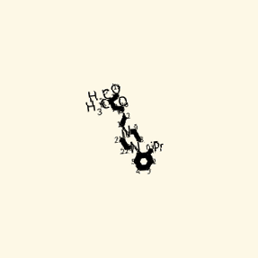 CC(C)c1ccccc1N1CCN(CC[C@@H]2CC(C)(C)C(=O)O2)CC1